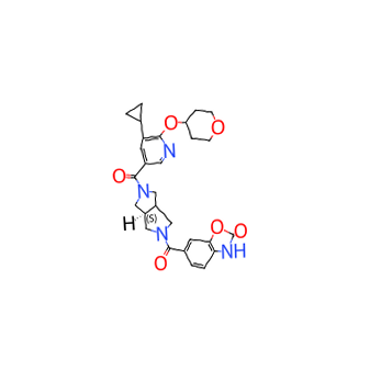 O=C(c1cnc(OC2CCOCC2)c(C2CC2)c1)N1CC2CN(C(=O)c3ccc4[nH]c(=O)oc4c3)C[C@H]2C1